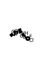 O=C(COc1ccc(Cl)c(F)c1)NC1CC2([C@@H]3CN(CC4CCC4)C(=O)O3)CCC12